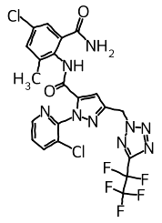 Cc1cc(Cl)cc(C(N)=O)c1NC(=O)c1cc(Cn2nnc(C(F)(F)C(F)(F)F)n2)nn1-c1ncccc1Cl